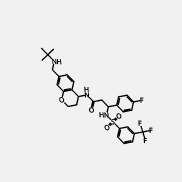 CC(C)(C)NCc1ccc2c(c1)OCCC2NC(=O)CC(NS(=O)(=O)c1cccc(C(F)(F)F)c1)c1ccc(F)cc1